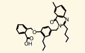 CCCCc1nc2ccc(C)cc2c(=O)n1Cc1ccc(OCc2ccccc2C(=O)O)c(CCC)c1